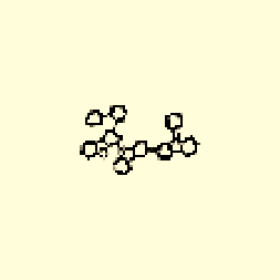 C1=CC2c3ccc(-c4ccc5c(c4)c4ccccc4n5-c4cc(-c5ccccc5-c5ccccc5)cc5c4oc4ccccc45)cc3N(c3ccccc3)C2C=C1